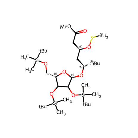 BSO[C@H](CC(=O)OC)C[C@H](O[C@@H]1O[C@@H](CO[Si](C)(C)C(C)(C)C)C(O[Si](C)(C)C(C)(C)C)C1O[Si](C)(C)C(C)(C)C)[C@@H](C)CC